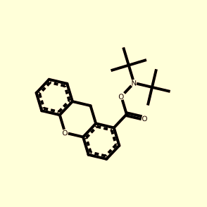 CC(C)(C)N(OC(=O)c1cccc2c1Cc1ccccc1O2)C(C)(C)C